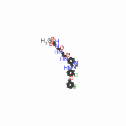 CS(=O)(=O)CCNCC(=O)NCCC(=O)Nc1ccc2ncnc(Nc3ccc(OCc4cccc(F)c4)c(Cl)c3)c2c1